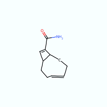 NC(=O)C1=CC2CC/C=C/CCC12